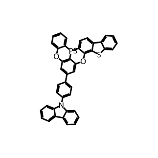 S=P12c3ccccc3Oc3cc(-c4ccc(-n5c6ccccc6c6ccccc65)cc4)cc(c31)Oc1c2ccc2c1sc1ccccc12